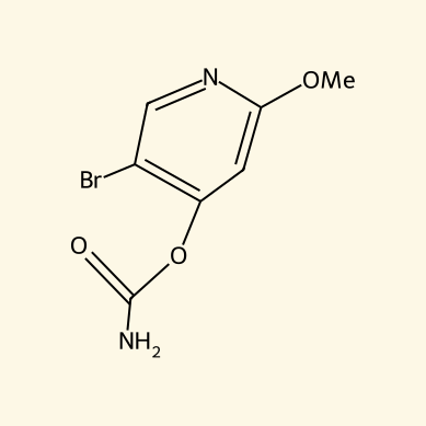 COc1cc(OC(N)=O)c(Br)cn1